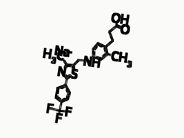 Cc1cc(NCc2sc(-c3ccc(C(F)(F)F)cc3)nc2C)ccc1CCC(=O)O.[Na]